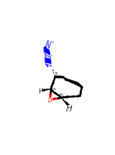 [N-]=[N+]=N[C@@H]1CCC[C@@H]2O[C@@H]21